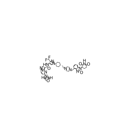 Cn1c(=O)n(C2CCC(=O)NC2=O)c2cccc(CN3CCN(CC[C@H]4CC[C@H](n5cc(NC(=O)c6cnn7ccc(N8C[C@H]9C[C@@H]8CO9)nc67)c(C(F)F)n5)CC4)CC3)c21